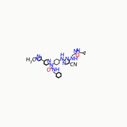 Cn1cc(-c2ccc(N(C(=O)NCc3ccccc3)C3CCC(Nc4ncc(C#N)c(NCc5nnc(C6CC6)o5)n4)CC3)nc2)cn1